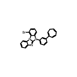 Brc1cccc2c1n1c3ccccc3nc1n2-c1cccc(C2=CCC=CC=C2)c1